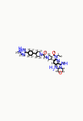 CCN(C(=O)[C@@H]1CCN(CC(=O)N2CC=C(c3ccc(C(=N)/N=C\NC)cc3)CC2)C1)c1ccc(N)c(C(=N)N2CCOCC2)n1